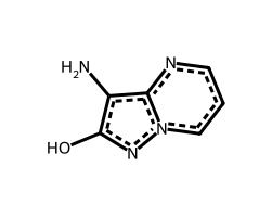 Nc1c(O)nn2cccnc12